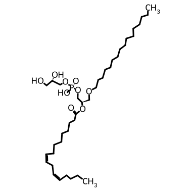 CCCC/C=C\C/C=C\CCCCCCCC(=O)O[C@H](COCCCCCCCCCCCCCCCC)COP(=O)(O)OC[C@@H](O)CO